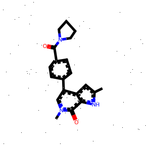 Cc1cc2c(-c3ccc(C(=O)N4CCCC4)cc3)cn(C)c(=O)c2[nH]1